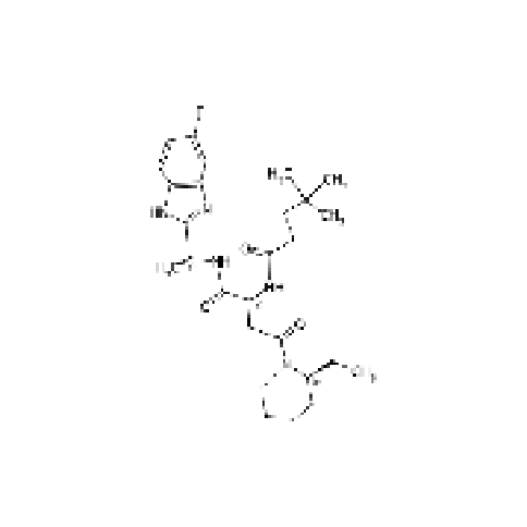 CC[C@H]1CCCCN1C(=O)C[C@H](NC(=O)CCC(C)(C)C)C(=O)N[C@@H](C)c1nc2cc(F)ccc2[nH]1